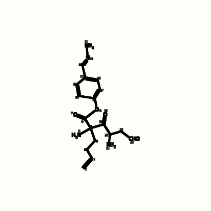 C=CCCC(N)(C(=O)Oc1ccc(C=NN)cc1)C(=O)C(N)CC=O